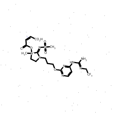 C[N+]1(OC(=O)/C=C\C(=O)O)CCN(CCCOc2nccc(NC(N)=NCC(F)(F)F)n2)C1=NS(C)(=O)=O